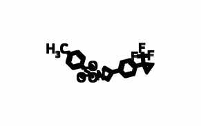 Cc1ccc(S(=O)(=O)ON2CC(c3ccc(C4(C(F)(F)F)CC4)cc3)C2)cc1